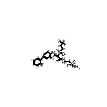 NS(=O)(=O)CCNC(=O)C(c1nc2ccc(-c3ccccc3F)cc2s1)S(=O)(=O)CCC(F)(F)F